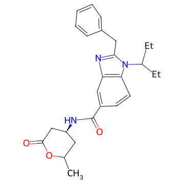 CCC(CC)n1c(Cc2ccccc2)nc2cc(C(=O)N[C@@H]3CC(=O)OC(C)C3)ccc21